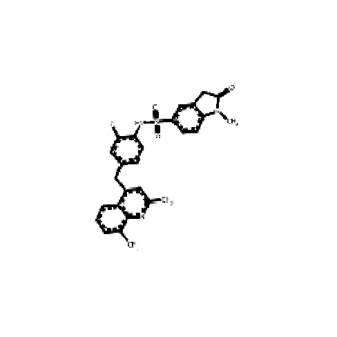 Cc1cc(Cc2ccc(NS(=O)(=O)c3ccc4c(c3)CC(=O)N4C)c(F)c2)c2cccc(C(F)(F)F)c2n1